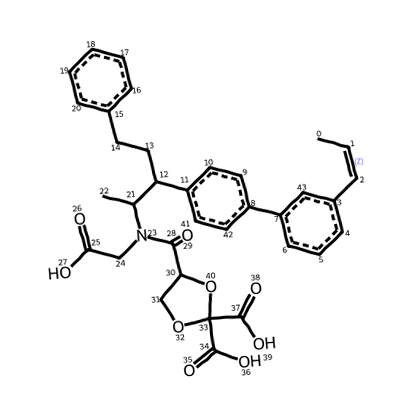 C/C=C\c1cccc(-c2ccc(C(CCc3ccccc3)C(C)N(CC(=O)O)C(=O)C3COC(C(=O)O)(C(=O)O)O3)cc2)c1